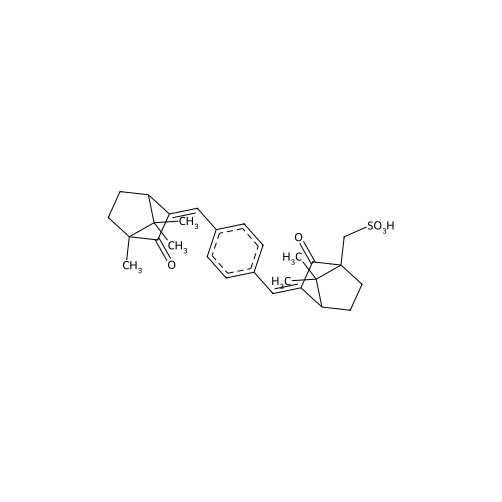 CC12CCC(/C(=C/c3ccc(/C=C4\C(=O)C5(CS(=O)(=O)O)CCC4C5(C)C)cc3)C1=O)C2(C)C